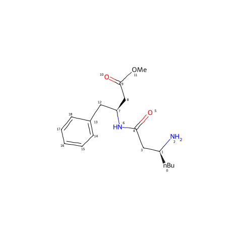 CCCC[C@H](N)CC(=O)N[C@H](CC(=O)OC)Cc1ccccc1